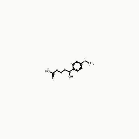 COc1ccc([C@@H](O)CCCC(=O)O)cc1